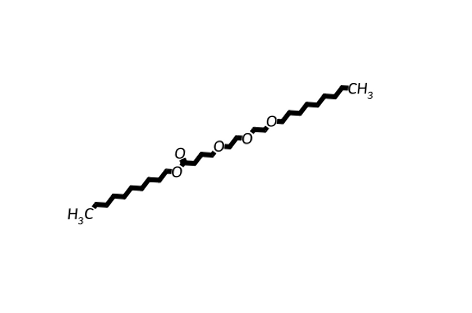 CCCCCCCCCCOC(=O)CCCOCCOCCOCCCCCCCCC